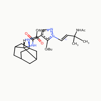 COC(=O)N[C@]12CC3CC(C1)[C@@H](NC(=O)c1cnn(/C=C/C(C)(C)NC(C)=O)c1OCC(C)C)C(C3)C2